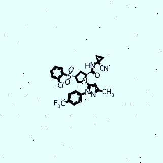 Cc1cc(N2C[C@H](S(=O)(=O)c3ccccc3Cl)C[C@H]2C(=O)NC2(C#N)CC2)n(-c2ccc(C(F)(F)F)cc2)n1